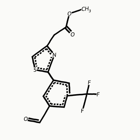 COC(=O)Cc1csc(-c2cc(C=O)cc(C(F)(F)F)c2)n1